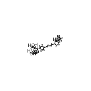 C[C@@H](O)[C@H](NC(=O)c1ccc(C#CC#Cc2cccc(NS(C)(=O)=O)c2)cc1)C(=O)NO